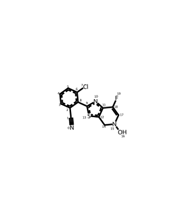 N#Cc1cccc(Cl)c1-c1nc2c(s1)CN(O)C=C2F